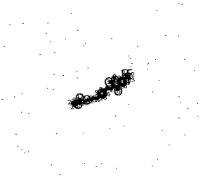 COC(=O)C(CCc1ccc(CCCOCC(=O)OC(C)(C)C)cc1)C(=O)c1ccc(C(F)(F)F)cc1